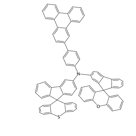 c1ccc2c(c1)Oc1ccccc1C21c2ccccc2-c2ccc(N(c3ccc(-c4ccc5c6ccccc6c6ccccc6c5c4)cc3)c3ccc4c(c3)-c3ccccc3C43c4ccccc4Sc4ccccc43)cc21